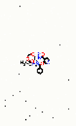 CC1(C)OCCO[C@H](CNC(=O)c2ccncc2)[C@H](CNC(=O)c2ccccc2)O1